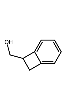 OCC1Cc2ccccc21